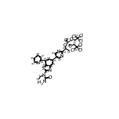 CCN(C(N)=O)c1nc2cc(-c3cnc(C(C)OP(=O)(OCC(Cl)(Cl)Cl)OCC(Cl)(Cl)Cl)nc3)cc(-c3ccccn3)c2s1